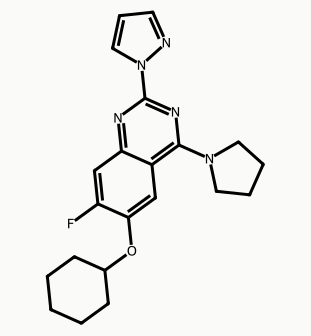 Fc1cc2nc(-n3cccn3)nc(N3CCCC3)c2cc1OC1CCCCC1